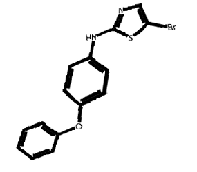 Brc1cnc(Nc2ccc(Oc3ccccc3)cc2)s1